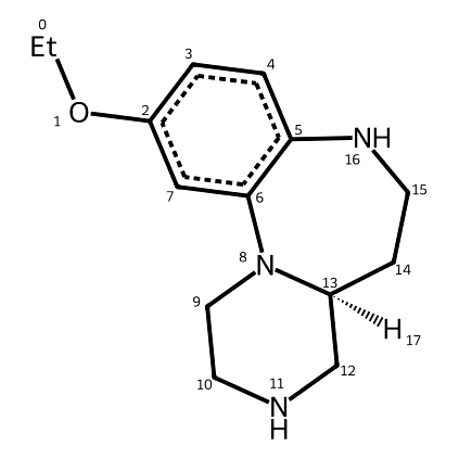 CCOc1ccc2c(c1)N1CCNC[C@@H]1CCN2